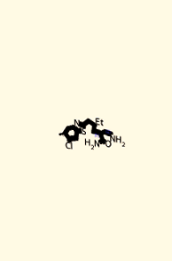 CCC(/C=C(\C=C/N)C(N)=O)Cc1nc2c(s1)C=C(Cl)[C@@H](C)C2